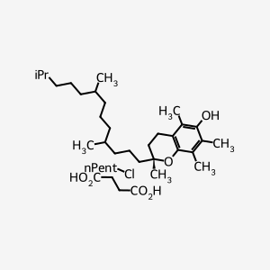 CCCCCCl.Cc1c(C)c2c(c(C)c1O)CC[C@@](C)(CCCC(C)CCCC(C)CCCC(C)C)O2.O=C(O)CCC(=O)O